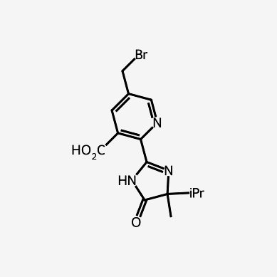 CC(C)C1(C)N=C(c2ncc(CBr)cc2C(=O)O)NC1=O